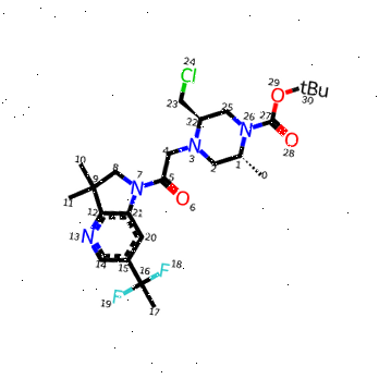 C[C@@H]1CN(CC(=O)N2CC(C)(C)c3ncc(C(C)(F)F)cc32)[C@@H](CCl)CN1C(=O)OC(C)(C)C